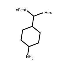 CCCCCCC(CCCCC)C1CCC(N)CC1